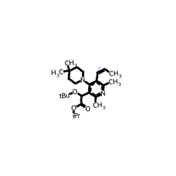 C/C=C\c1c(C)nc(C)c(C(OC(C)(C)C)C(=O)OC(C)C)c1N1CCC(C)(C)CC1